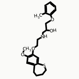 COc1cc2c(cc1OCCNCC(O)COc1ccccc1C)SCCCC2